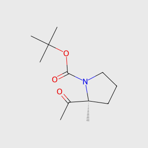 CC(=O)[C@]1(C)CCCN1C(=O)OC(C)(C)C